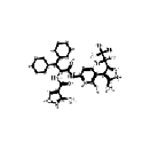 [2H]C([2H])([2H])C([2H])([2H])c1n[nH]c(C)c1-c1ccc(NC(=O)[C@@H](NC(=O)c2conc2C)C(C2CCCCC2)C2CCCCC2)nc1F